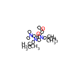 CC(C)(C)c1ccc(N2c3cc(N(c4ccccc4)c4ccccc4)ccc3B3c4oc5c(ccc6oc7ccccc7c65)c4N(c4ccc(C(C)(C)C)cc4)c4cccc2c43)cc1